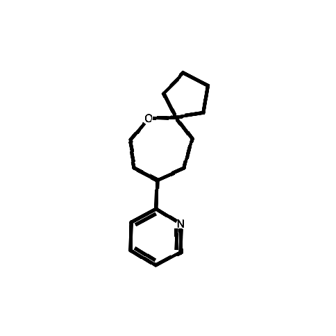 c1ccc(C2CCOC3(CCCC3)CC2)nc1